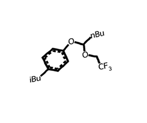 CCCCC(OCC(F)(F)F)Oc1ccc(C(C)CC)cc1